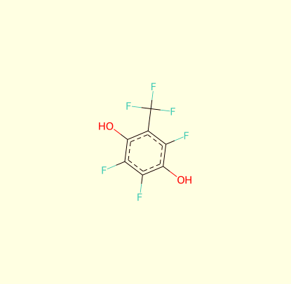 Oc1c(F)c(F)c(O)c(C(F)(F)F)c1F